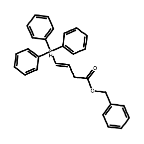 O=C(CC=C[PH](c1ccccc1)(c1ccccc1)c1ccccc1)OCc1ccccc1